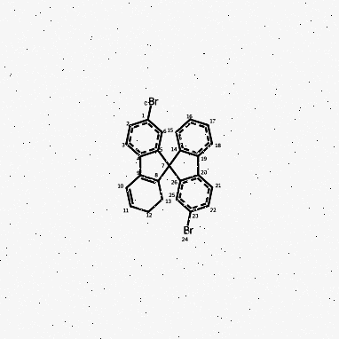 Brc1ccc2c(c1)C1(C3=C2C=CCC3)c2ccccc2-c2ccc(Br)cc21